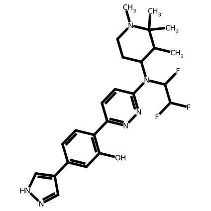 CC1C(N(c2ccc(-c3ccc(-c4cn[nH]c4)cc3O)nn2)C(F)C(F)F)CCN(C)C1(C)C